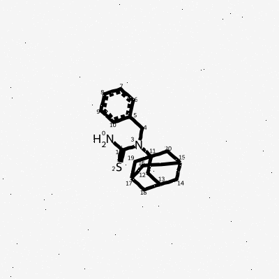 NC(=S)N(Cc1ccccc1)C12CC3CC(CC(C3)C1)C2